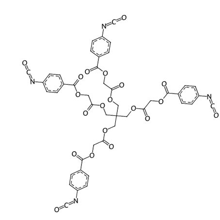 O=C=Nc1ccc(C(=O)OCC(=O)OCC(COC(=O)COC(=O)c2ccc(N=C=O)cc2)(COC(=O)COC(=O)c2ccc(N=C=O)cc2)COC(=O)COC(=O)c2ccc(N=C=O)cc2)cc1